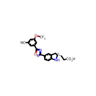 N#Cc1cc(OC(F)(F)F)cc(-c2nc(-c3ccc4c(c3)C[C@H](CCC(=O)O)N4)no2)c1